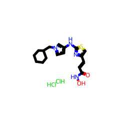 Cl.Cl.O=C(C=Cc1csc(Nc2ccn(CC3CCCCC3)c2)n1)NO